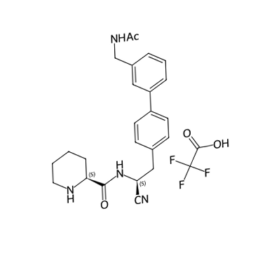 CC(=O)NCc1cccc(-c2ccc(C[C@@H](C#N)NC(=O)[C@@H]3CCCCN3)cc2)c1.O=C(O)C(F)(F)F